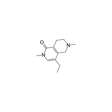 CCc1cn(C)c(=O)c2c1CN(C)CC2